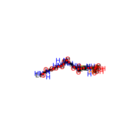 CCNC(=O)CCC(=O)NCCOCCOCCNC(=O)CCC(=O)N[C@@H](CCCCNC(=O)CCN1C(=O)CC(SCCCC(=N)NCCCC(O)(O[PH](=O)O)O[PH](=O)O)C1=O)C(N)=O